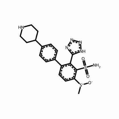 C[S+]([O-])c1ccc(-c2ccc(C3CCNCC3)cc2)c(-c2nnn[nH]2)c1S(N)(=O)=O